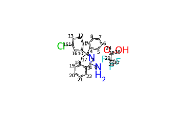 NC1=NC(c2ccccc2)(c2cccc(Cl)c2)Cc2ccccc21.O=C(O)C(F)(F)F